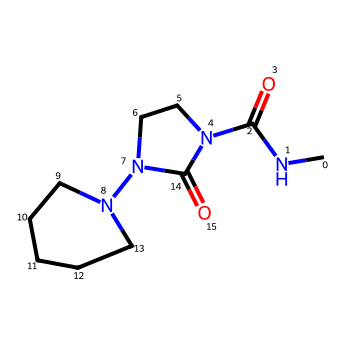 CNC(=O)N1CCN(N2CCCCC2)C1=O